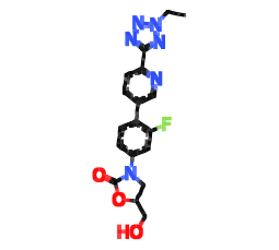 CCn1nnc(-c2ccc(-c3ccc(N4CC(CO)OC4=O)cc3F)cn2)n1